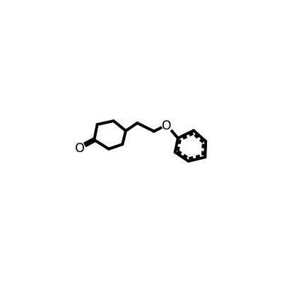 O=C1CCC(CCOc2ccccc2)CC1